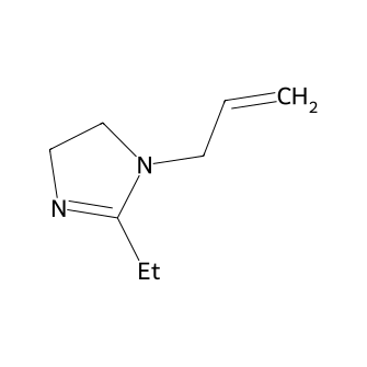 C=CCN1CCN=C1CC